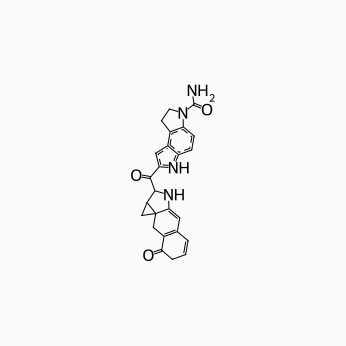 NC(=O)N1CCc2c1ccc1[nH]c(C(=O)C3NC4=CC5=C(CC46CC36)C(=O)CC=C5)cc21